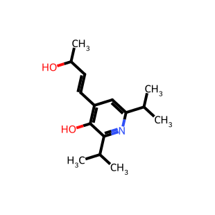 CC(O)C=Cc1cc(C(C)C)nc(C(C)C)c1O